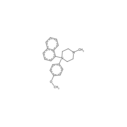 COc1ccc([Si]2(c3cccc4ccccc34)CCN(C)CC2)cc1